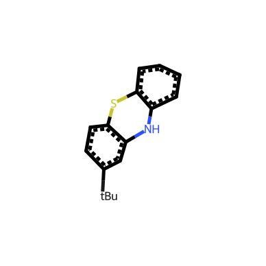 CC(C)(C)c1ccc2c(c1)Nc1ccccc1S2